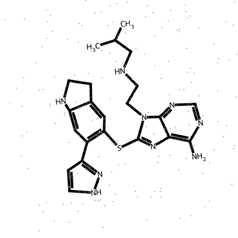 CC(C)CNCCn1c(Sc2cc3c(cc2-c2cc[nH]n2)NCC3)nc2c(N)ncnc21